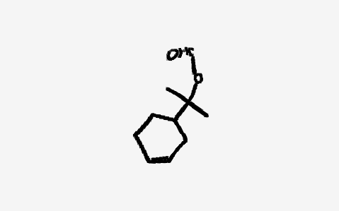 CC(C)(OC=O)C1CC=CCC1